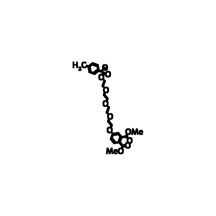 COC(=O)c1ccc(OCCOCCOCCOCCOS(=O)(=O)c2ccc(C)cc2)cc1C(=O)OC